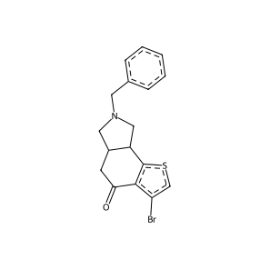 O=C1CC2CN(Cc3ccccc3)CC2c2scc(Br)c21